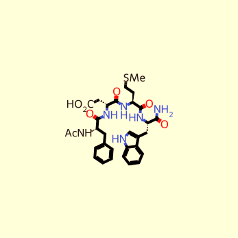 CSCC[C@H](NC(=O)[C@@H](CC(=O)O)NC(=O)[C@H](Cc1ccccc1)NC(C)=O)C(=O)N[C@@H](Cc1c[nH]c2ccccc12)C(N)=O